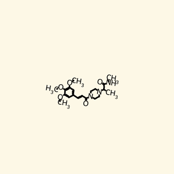 CNC(=O)C(C)N1CCN(C(=O)C=Cc2cc(OC)c(OC)c(OC)c2)CC1